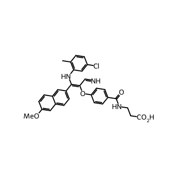 COc1ccc2cc(/C(Nc3cc(Cl)ccc3C)=C(/C=N)Oc3ccc(C(=O)NCCC(=O)O)cc3)ccc2c1